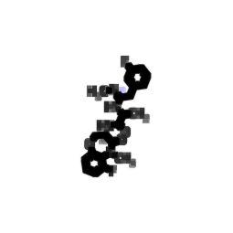 C=C(N/C(Cc1cccc(F)c1)=N\C)C(=O)N[C@H]1COc2cccc(F)c2N(C)C1=O